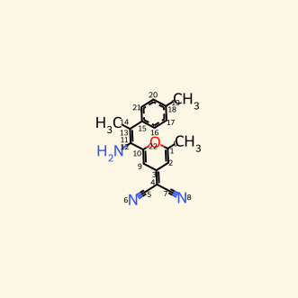 CC1=CC(=C(C#N)C#N)C=C(C(N)=C(C)c2ccc(C)cc2)O1